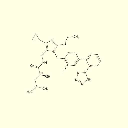 CCOc1nc(C2CC2)c(CNC(=O)[C@@H](S)CC(C)C)n1Cc1ccc(-c2ccccc2-c2nnn[nH]2)cc1F